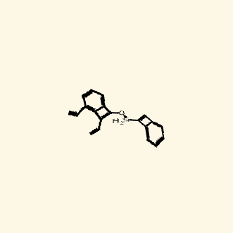 C=CC1=C(O[SiH2]C2=Cc3ccccc32)c2cccc(C=C)c21